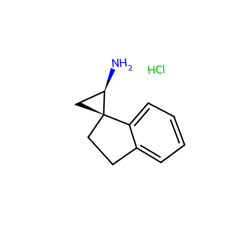 Cl.N[C@@H]1C[C@@]12CCc1ccccc12